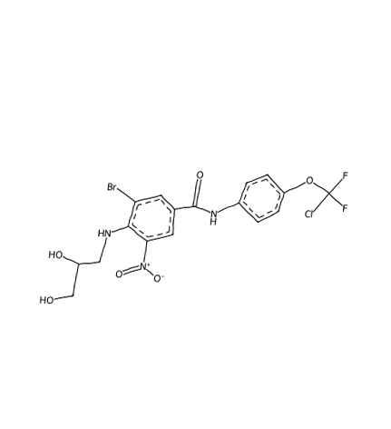 O=C(Nc1ccc(OC(F)(F)Cl)cc1)c1cc(Br)c(NCC(O)CO)c([N+](=O)[O-])c1